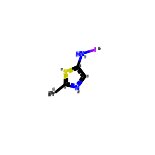 CC(C)c1ncc(NI)s1